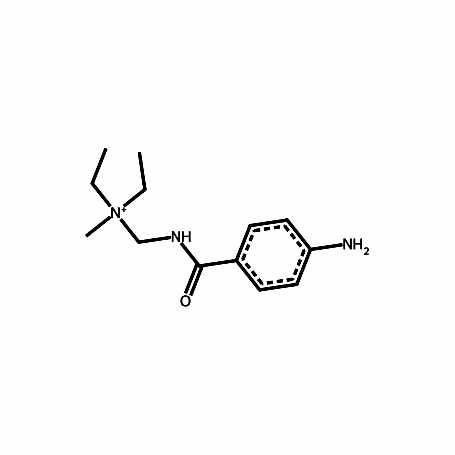 CC[N+](C)(CC)CNC(=O)c1ccc(N)cc1